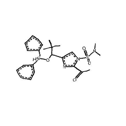 CC(=O)c1nc(C(O[SiH](c2ccccc2)c2ccccc2)C(C)(C)C)cn1S(=O)(=O)N(C)C